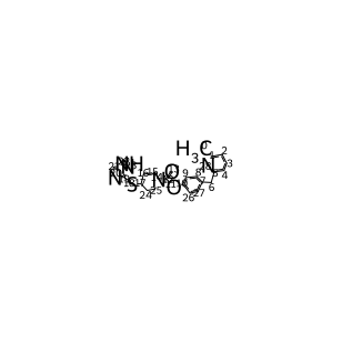 Cc1cccc(Cc2ccc(OC(=O)N3CCC(Sc4nc[nH]n4)CC3)cc2)n1